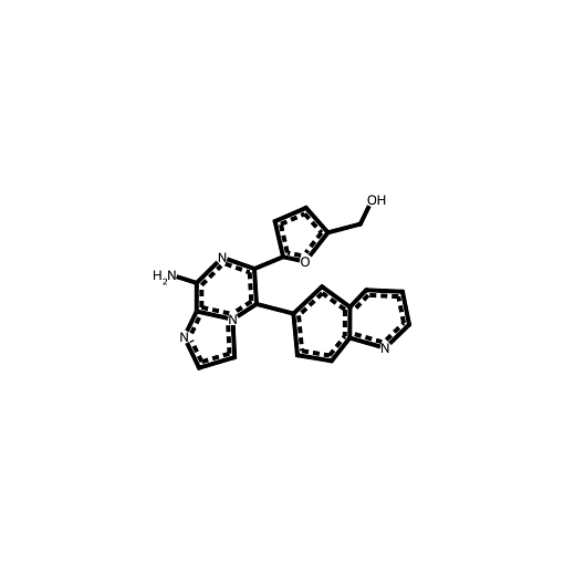 Nc1nc(-c2ccc(CO)o2)c(-c2ccc3ncccc3c2)n2ccnc12